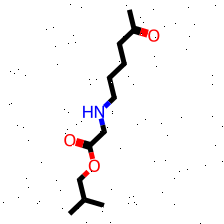 CC(=O)CCCCNCC(=O)OCC(C)C